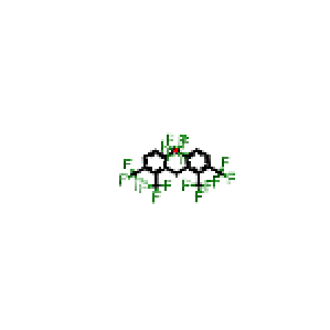 FC(F)(F)c1ccc(C(F)(F)F)c(C(F)(F)F)c1[CH]c1c(C(F)(F)F)ccc(C(F)(F)F)c1C(F)(F)F